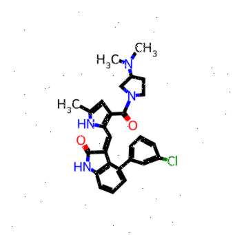 Cc1cc(C(=O)N2CCC(N(C)C)C2)c(/C=C2\C(=O)Nc3cccc(-c4cccc(Cl)c4)c32)[nH]1